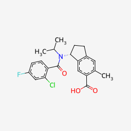 Cc1cc2c(cc1C(=O)O)[C@H](N(C(=O)c1ccc(F)cc1Cl)C(C)C)CC2